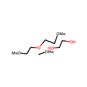 COC.COCCOCCOC.OCCO